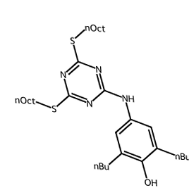 CCCCCCCCSc1nc(Nc2cc(CCCC)c(O)c(CCCC)c2)nc(SCCCCCCCC)n1